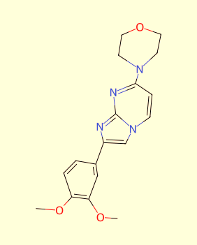 COc1ccc(-c2cn3ccc(N4CCOCC4)nc3n2)cc1OC